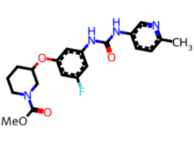 COC(=O)N1CCCC(Oc2cc(F)cc(NC(=O)Nc3ccc(C)nc3)c2)C1